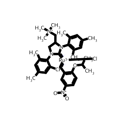 Cc1cc(C)c(N2CC(C[N+](C)(C)C)N(c3c(C)cc(C)cc3C)/[C]2=[Ru-3](\[Cl])=[CH]\c2cc([N+](=O)[O-])ccc2OC(C)C)c(C)c1